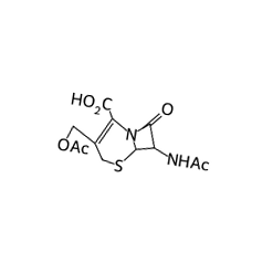 CC(=O)NC1C(=O)N2C(C(=O)O)=C(COC(C)=O)CSC12